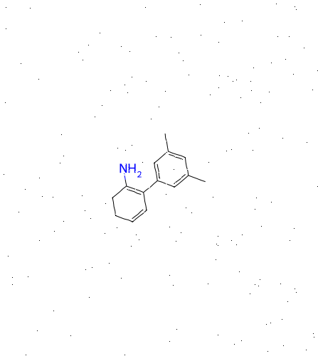 Cc1cc(C)cc(C2=C(N)CCC=C2)c1